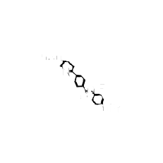 CCCCc1ccc(-c2ccc(C(=O)Oc3ccc(CCC)cc3F)cc2)nc1